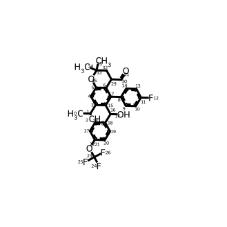 CC(C)c1cc2c(c(-c3ccc(F)cc3)c1C(O)c1ccc(OC(F)(F)F)cc1)C(C=O)CC(C)(C)O2